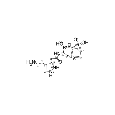 NCCC1=CNNN1CC(=O)N[C@H]1Cc2cccc(C(=O)O)c2OB1O